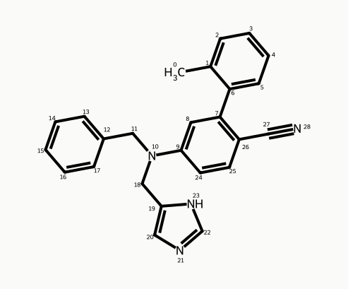 Cc1ccccc1-c1cc(N(Cc2ccccc2)Cc2cnc[nH]2)ccc1C#N